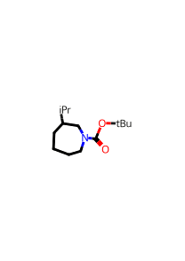 CC(C)C1CCCCN(C(=O)OC(C)(C)C)C1